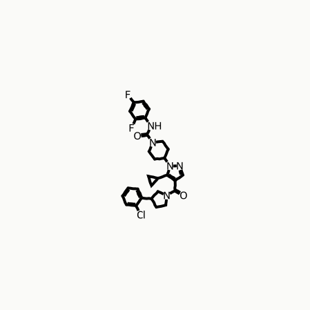 O=C(Nc1ccc(F)cc1F)N1CCC(n2ncc(C(=O)N3CCC(c4ccccc4Cl)C3)c2C2CC2)CC1